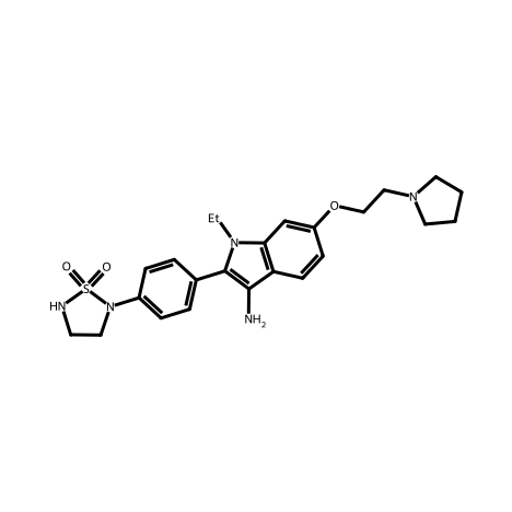 CCn1c(-c2ccc(N3CCNS3(=O)=O)cc2)c(N)c2ccc(OCCN3CCCC3)cc21